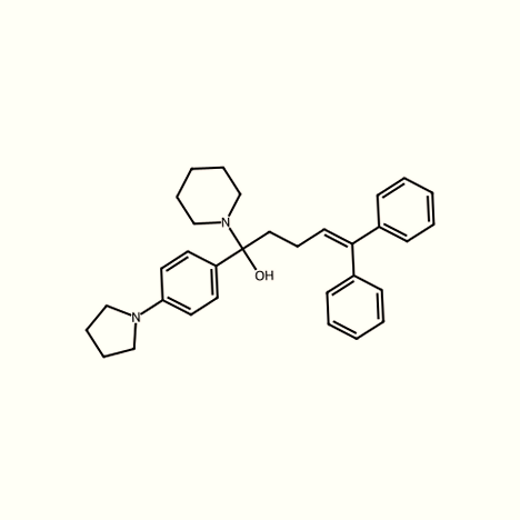 OC(CCC=C(c1ccccc1)c1ccccc1)(c1ccc(N2CCCC2)cc1)N1CCCCC1